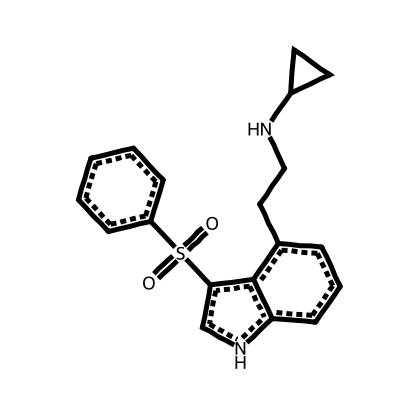 O=S(=O)(c1ccccc1)c1c[nH]c2cccc(CCNC3CC3)c12